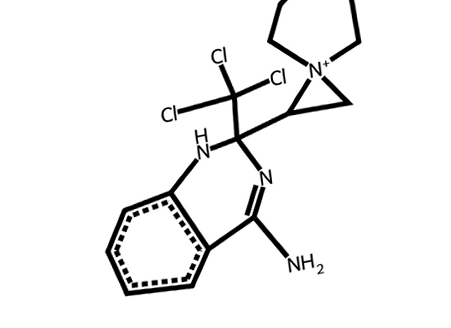 NC1=NC(C2C[N+]23CCCCC3)(C(Cl)(Cl)Cl)Nc2ccccc21